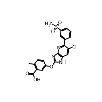 Cc1ccc(Oc2nc3nc(-c4cccc(S(N)(=O)=O)c4)c(Cl)cc3[nH]2)cc1C(=O)O